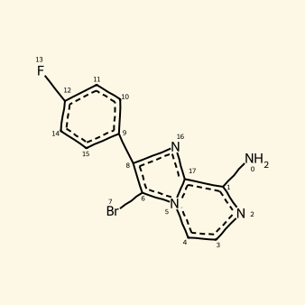 Nc1nccn2c(Br)c(-c3ccc(F)cc3)nc12